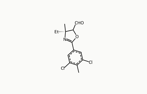 CC[C@@]1(C)N=C(c2cc(Cl)c(C)c(Cl)c2)OC1C=O